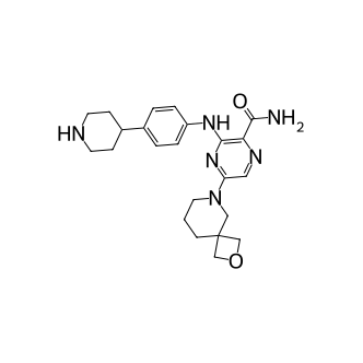 NC(=O)c1ncc(N2CCCC3(COC3)C2)nc1Nc1ccc(C2CCNCC2)cc1